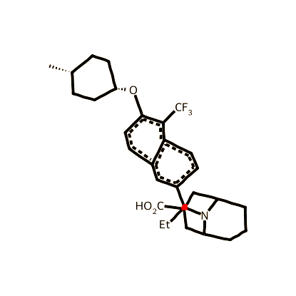 CCC(c1ccc2c(C(F)(F)F)c(O[C@H]3CC[C@@H](C)CC3)ccc2c1)N1C2CCCC1CC(C(=O)O)C2